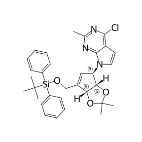 Cc1nc(Cl)c2ccn([C@@H]3C=C(CO[Si](c4ccccc4)(c4ccccc4)C(C)(C)C)[C@H]4OC(C)(C)O[C@H]43)c2n1